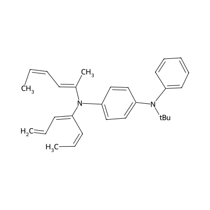 C=C/C=C(\C=C/C)N(/C(C)=C/C=C\C)c1ccc(N(c2ccccc2)C(C)(C)C)cc1